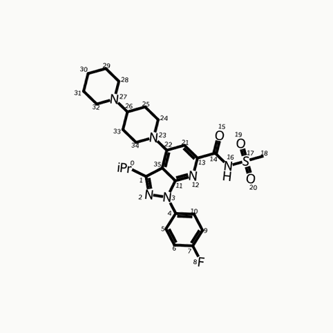 CC(C)c1nn(-c2ccc(F)cc2)c2nc(C(=O)NS(C)(=O)=O)cc(N3CCC(N4CCCCC4)CC3)c12